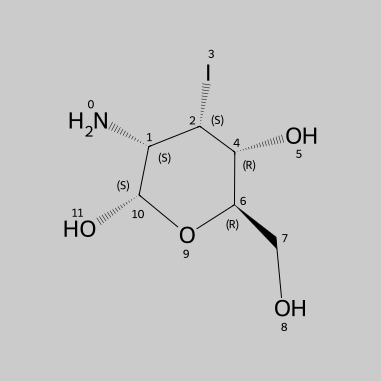 N[C@@H]1[C@H](I)[C@H](O)[C@@H](CO)O[C@@H]1O